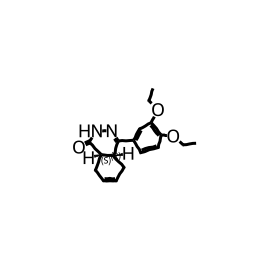 CCOc1ccc(C2=NNC(=O)[C@H]3CC=CC[C@@H]23)cc1OCC